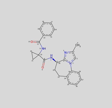 Cc1cn2c(n1)[C@H](NC(=O)C1(NC(=O)c3ccccc3)CC1)CCc1ccccc1-2